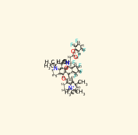 CC1=CC(C)(C)N2CCCc3c4c(cc1c32)C(c1c(F)c(F)c(F)c(F)c1C(=O)N(C)CCC(=O)Oc1c(F)c(F)cc(F)c1F)=c1cc2c3c(c1O4)CCC[N+]=3C(C)(C)C=C2C